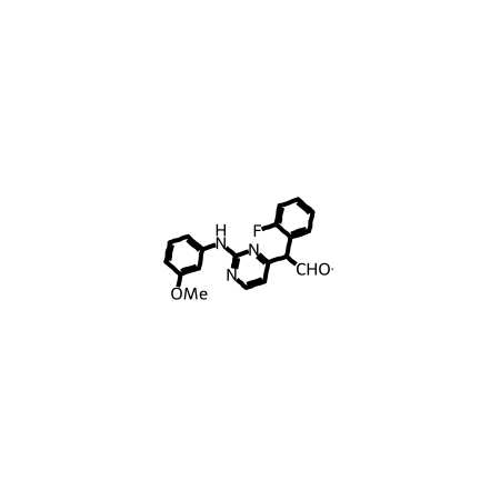 COc1cccc(Nc2nccc(C([C]=O)c3ccccc3F)n2)c1